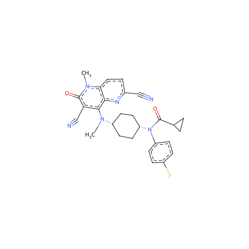 Cn1c(=O)c(C#N)c(N(C)[C@H]2CC[C@@H](N(C(=O)C3CC3)c3ccc(F)cc3)CC2)c2nc(C#N)ccc21